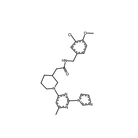 COc1ccc(CNC(=O)CC2CCCN(c3cc(C)nc(-n4ccnc4)n3)C2)cc1Cl